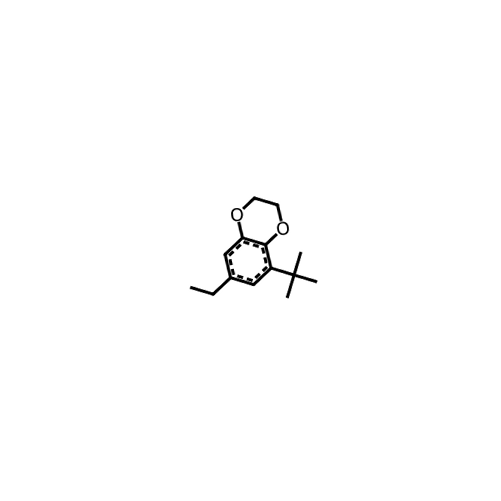 CCc1cc2c(c(C(C)(C)C)c1)OCCO2